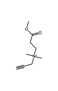 C#CC[N+](C)(C)CCC(=O)OC